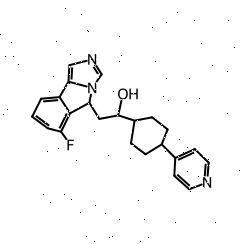 OC(CC1c2c(F)cccc2-c2cncn21)C1CCC(c2ccncc2)CC1